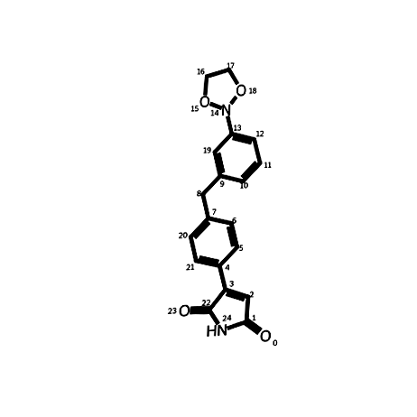 O=C1C=C(c2ccc(Cc3cccc(N4OCCO4)c3)cc2)C(=O)N1